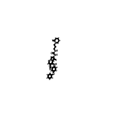 Cc1c(NC(=O)NCCCN2CCCCC2C)cn2ncc(C#N)c(Nc3ccc(Oc4ccccc4)cc3)c12